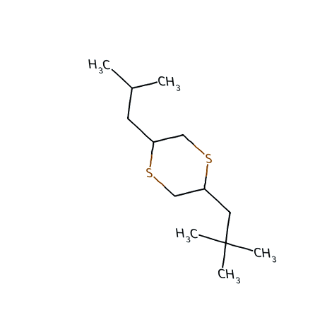 CC(C)CC1CSC(CC(C)(C)C)CS1